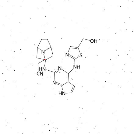 N#CCCN1C2CCC1CC(Nc1nc(Nc3ncc(CO)s3)c3cc[nH]c3n1)C2